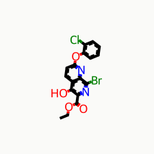 CCOC(=O)c1nc(Br)c2nc(Oc3ccccc3Cl)ccc2c1O